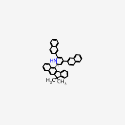 CC1(C)c2ccccc2-c2c1cc1ccccc1c2[C@H]1C=C(c2ccc3ccccc3c2)C=C(c2ccc3ccccc3c2)N1